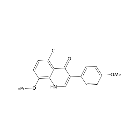 CCCOc1ccc(Cl)c2c(=O)c(-c3ccc(OC)cc3)c[nH]c12